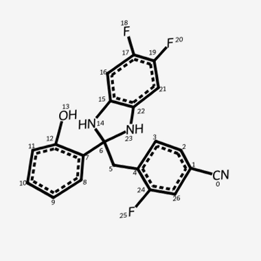 N#Cc1ccc(CC2(c3ccccc3O)Nc3cc(F)c(F)cc3N2)c(F)c1